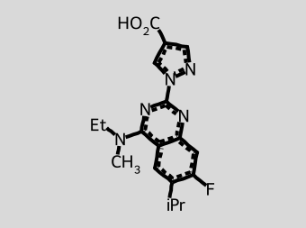 CCN(C)c1nc(-n2cc(C(=O)O)cn2)nc2cc(F)c(C(C)C)cc12